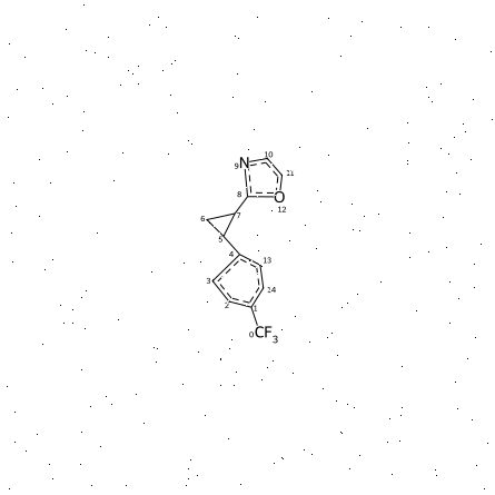 FC(F)(F)c1ccc(C2CC2c2ncco2)cc1